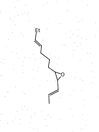 C/C=C/C1OC1CCC/C=C/CC